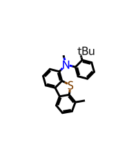 Cc1cccc2c1sc1c(N(C)c3ccccc3C(C)(C)C)cccc12